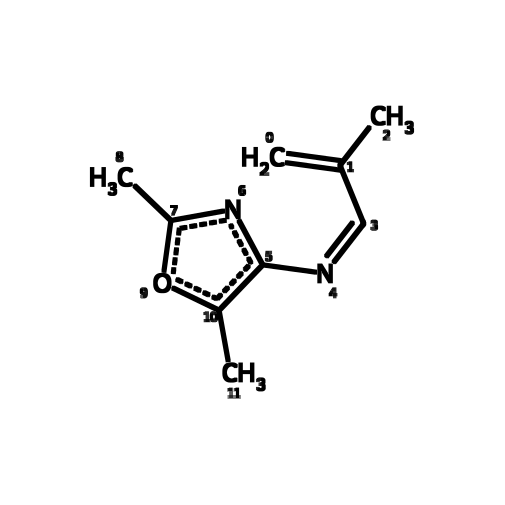 C=C(C)/C=N\c1nc(C)oc1C